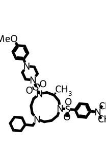 COc1ccc(N2CCN(S(=O)(=O)N3CCCN(CC4CCCCC4)CCCN(S(=O)(=O)c4ccc(N(C)C)cc4)C[C@H](C)C3)CC2)cc1